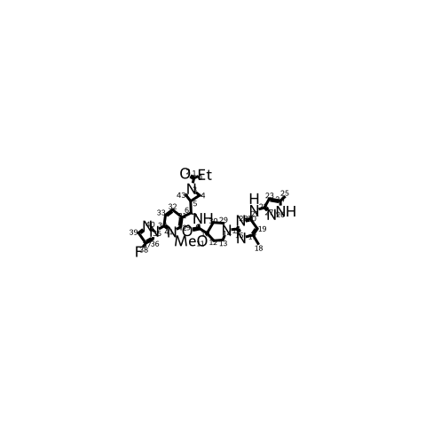 CCC(=O)N1CC([C@H](NC(=O)C2(OC)CCN(c3nc(C)cc(Nc4cc(C)[nH]n4)n3)CC2)c2ccc(-n3cc(F)cn3)nc2)C1